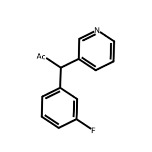 CC(=O)C(c1cccnc1)c1cccc(F)c1